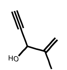 C#CC(O)C(=C)C